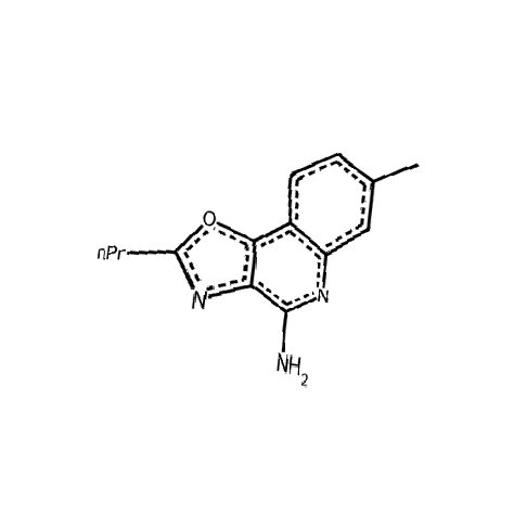 CCCc1nc2c(N)nc3cc(C)ccc3c2o1